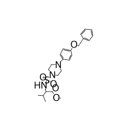 COC(=O)[C@H](NS(=O)(=O)N1CCN(c2ccc(OCc3ccccc3)cc2)CC1)C(C)C